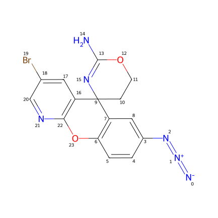 [N-]=[N+]=Nc1ccc2c(c1)C1(CCOC(N)=N1)c1cc(Br)cnc1O2